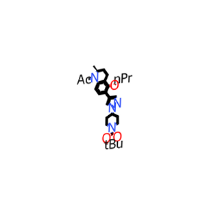 CCCOc1c(-c2cnn(C3CCN(C(=O)OC(C)(C)C)CC3)c2)ccc2c1CC[C@H](C)N2C(C)=O